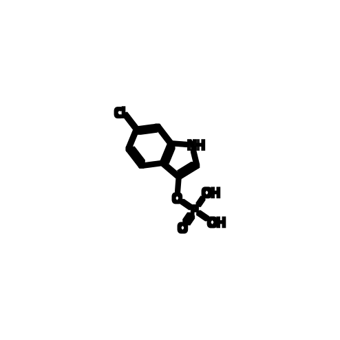 O=P(O)(O)Oc1c[nH]c2cc(Cl)ccc12